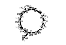 CC[C@H](C)[C@@H]1NC(=O)[C@H](CO)NC(=O)[C@H](CCCNC(=N)N)NC(=O)[C@H](CC(C)C)NC(=O)[C@H]([C@@H](C)O)NC(=O)[C@H](CO)NC(=O)[C@H](C)NC(=O)[C@H]([C@@H](C)O)NC(=O)[C@H](CCC(=O)O)NC(=O)[C@H](CCC(=O)O)NC(=O)[C@@H]2CSC(=N2)c2cc(cs2)C[C@@H](C(N)=O)NC(=O)[C@H](CO)NC(=O)[C@H](CC(C)=O)NC(=O)CNC1=O